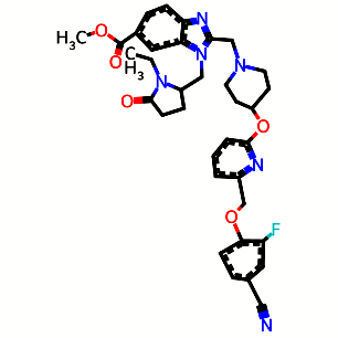 CCN1C(=O)CCC1Cn1c(CN2CCC(Oc3cccc(COc4ccc(C#N)cc4F)n3)CC2)nc2ccc(C(=O)OC)cc21